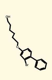 OCCCCCCOc1ccc(-c2ccccc2)c(Br)c1